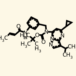 CC=CC(=O)Nc1cccc(CN(C(=O)OC(C)(C)C)c2cc(C3CC3)nc3c(C(C)C)cnn23)c1